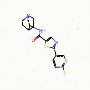 O=C(NC1CN2CCC1CC2)c1cnc(-c2ccc(F)nc2)s1